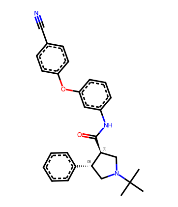 CC(C)(C)N1C[C@H](C(=O)Nc2cccc(Oc3ccc(C#N)cc3)c2)[C@@H](c2ccccc2)C1